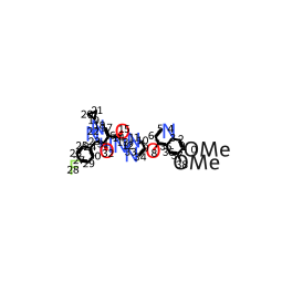 COc1cc2nccc(Oc3cnc(NC(=O)c4cn(C5CC5)nc(-c5ccc(F)cc5)c4=O)nc3)c2cc1OC